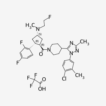 Cc1nc(C2CCN(C(=O)[C@@H]3C[C@@H](N(C)CCF)C[C@H]3c3ccc(F)cc3F)CC2)n(-c2ccc(Cl)c(C)c2)n1.O=C(O)C(F)(F)F